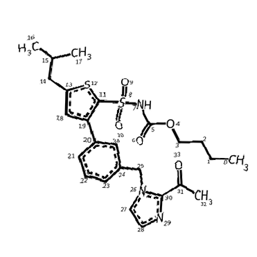 CCCCOC(=O)NS(=O)(=O)c1sc(CC(C)C)cc1-c1cccc(Cn2ccnc2C(C)=O)c1